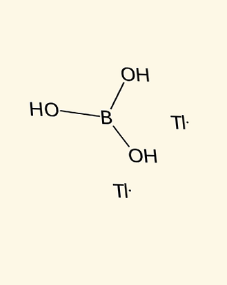 OB(O)O.[Tl].[Tl]